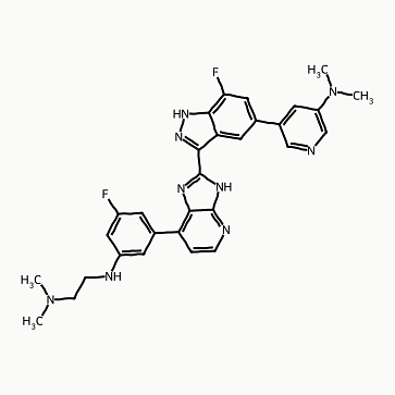 CN(C)CCNc1cc(F)cc(-c2ccnc3[nH]c(-c4n[nH]c5c(F)cc(-c6cncc(N(C)C)c6)cc45)nc23)c1